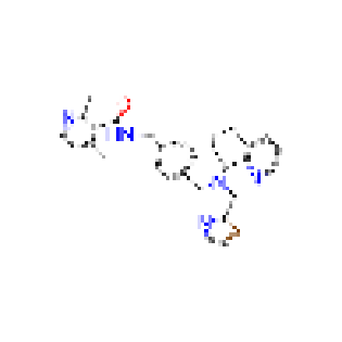 Cc1ccnc(C)c1C(=O)NCc1ccc(CN(Cc2nccs2)C2CCCc3cccnc32)cc1